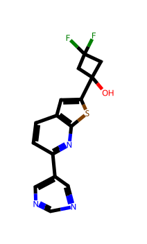 OC1(c2cc3ccc(-c4cncnc4)nc3s2)CC(F)(F)C1